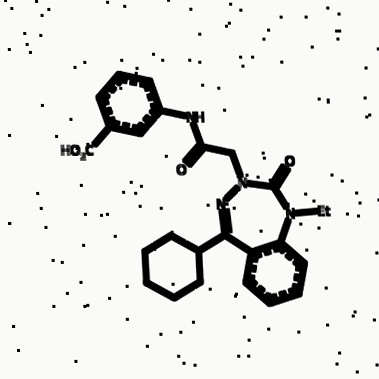 CCN1C(=O)N(CC(=O)Nc2cccc(C(=O)O)c2)N=C(C2CCCCC2)c2ccccc21